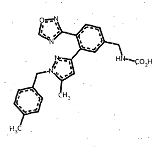 Cc1ccc(Cn2nc(-c3cc(CNC(=O)O)ccc3-c3ncon3)cc2C)cc1